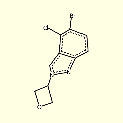 Clc1c(Br)ccc2nn(C3COC3)cc12